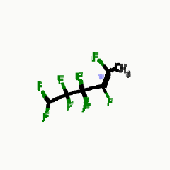 C/C(F)=C(\F)C(F)(F)C(F)(F)C(F)F